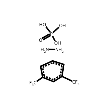 FC(F)(F)c1cccc(C(F)(F)F)c1.NN.O=P(O)(O)O